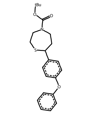 CC(C)(C)OC(=O)N1CCSC(c2ccc(Oc3ccccc3)cc2)CC1